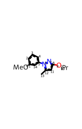 COc1cccc(-n2nc(OC(C)C)cc2C)c1